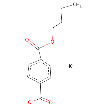 CCCCOC(=O)c1ccc(C(=O)[O-])cc1.[K+]